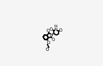 O=CCOc1cccc2c1C(=O)N([C@H]1CCC(=O)NC1=O)C2=O